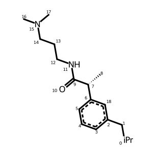 CC(C)Cc1cccc([C@@H](C)C(=O)NCCCN(C)C)c1